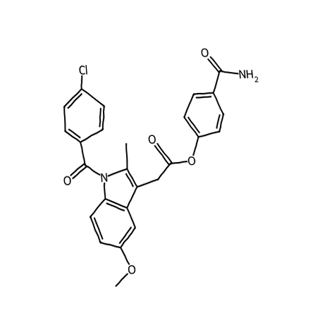 COc1ccc2c(c1)c(CC(=O)Oc1ccc(C(N)=O)cc1)c(C)n2C(=O)c1ccc(Cl)cc1